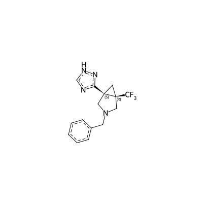 FC(F)(F)[C@@]12CN(Cc3ccccc3)C[C@]1(c1nc[nH]n1)C2